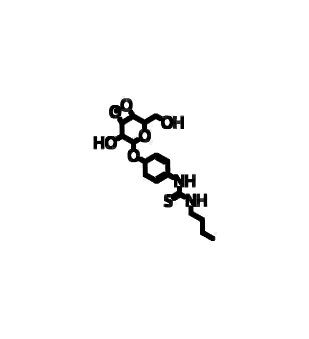 CCCCNC(=S)NC1=CCC(OC2OC(CO)C3OOC3C2O)C=C1